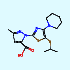 Cc1cc(C(=O)O)n(-c2nc(N3CCCCC3)c(SC(C)C)s2)n1